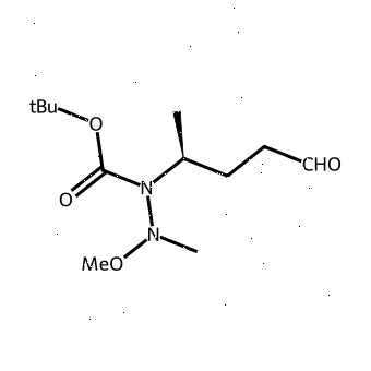 CON(C)N(C(=O)OC(C)(C)C)[C@@H](C)CCC=O